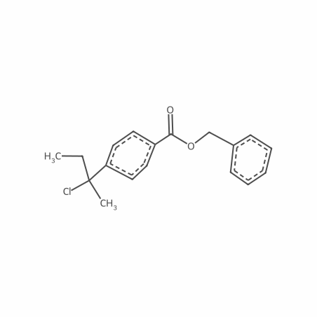 CCC(C)(Cl)c1ccc(C(=O)OCc2ccccc2)cc1